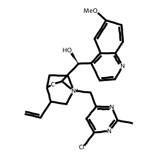 C=CC1C[N+]2(Cc3cc(Cl)nc(C)n3)CCC1CC2[C@@H](O)c1ccnc2ccc(OC)cc12